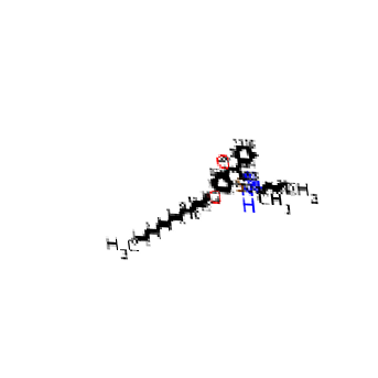 CCCCCCCCCCCCCCOc1ccc(C(=O)C(C2=NN(C(C)CCCC)NS2)c2ccccc2)cc1